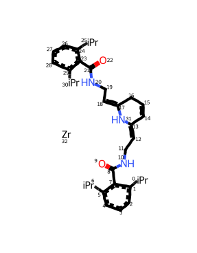 CC(C)c1cccc(C(C)C)c1C(=O)NCC=C1C=CCC(=CCNC(=O)c2c(C(C)C)cccc2C(C)C)N1.[Zr]